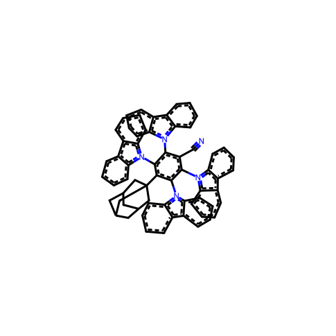 N#Cc1c(-n2c3ccccc3c3ccccc32)c(-n2c3ccccc3c3ccccc32)c(C23CC4CC(CC(C4)C2)C3)c(-n2c3ccccc3c3ccccc32)c1-n1c2ccccc2c2ccccc21